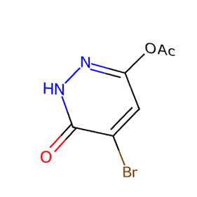 CC(=O)Oc1cc(Br)c(=O)[nH]n1